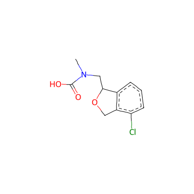 CN(CC1OCc2c(Cl)cccc21)C(=O)O